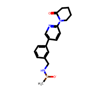 C[S+]([O-])NCc1cccc(-c2ccc(N3CCCCC3=O)nc2)c1